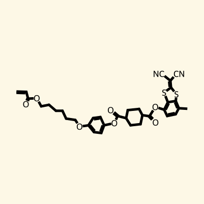 C=CC(=O)OCCCCCCOc1ccc(OC(=O)C2CCC(C(=O)Oc3ccc(C)c4c3SC(=C(C#N)C#N)S4)CC2)cc1